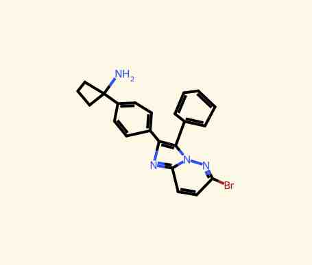 NC1(c2ccc(-c3nc4ccc(Br)nn4c3-c3ccccc3)cc2)CCC1